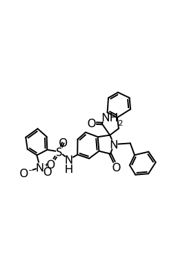 NC(=O)C1(Cc2ccccc2)c2ccc(NS(=O)(=O)c3ccccc3[N+](=O)[O-])cc2C(=O)N1Cc1ccccc1